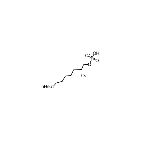 CCCCCCCCCCCCCCOP(=O)([O-])O.[Cs+]